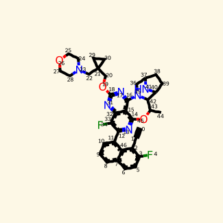 C#Cc1c(F)ccc2cccc(-c3nc4c5c(nc(OCC6(CN7CCOCC7)CC6)nc5c3F)N3CC5CCC(N5)C3C(C)O4)c12